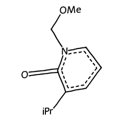 COCn1cccc(C(C)C)c1=O